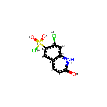 O=c1[c]cc2cc(S(=O)(=O)Cl)c(Cl)cc2[nH]1